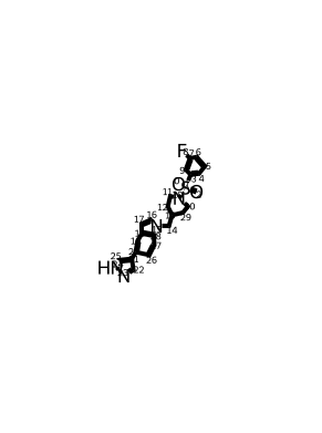 O=S(=O)(c1cccc(F)c1)N1CCC(Cn2ccc3cc(-c4cn[nH]c4)ccc32)CC1